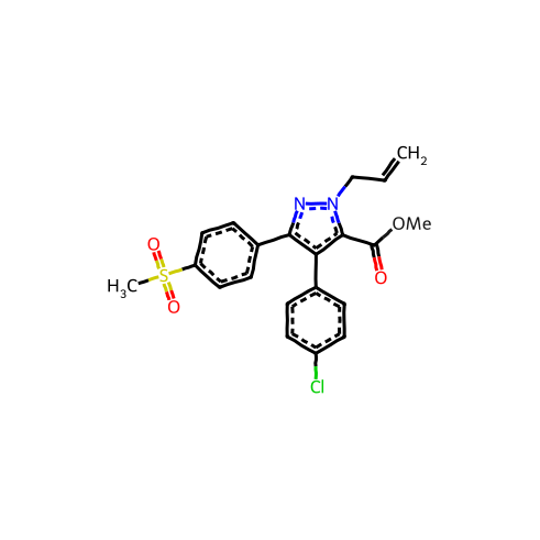 C=CCn1nc(-c2ccc(S(C)(=O)=O)cc2)c(-c2ccc(Cl)cc2)c1C(=O)OC